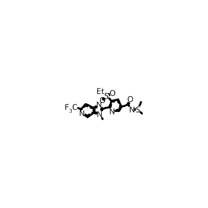 CCS(=O)(=O)c1cc(C(=O)N=S(C)C)cnc1-c1nc2cc(C(F)(F)F)ncc2n1C